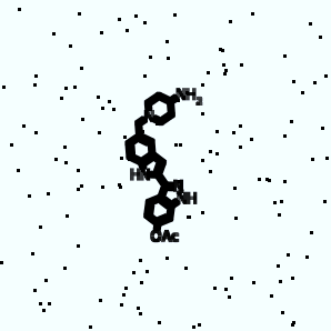 CC(=O)Oc1ccc2c(-c3cc4cc(CN5CCC(N)CC5)ccc4[nH]3)n[nH]c2c1